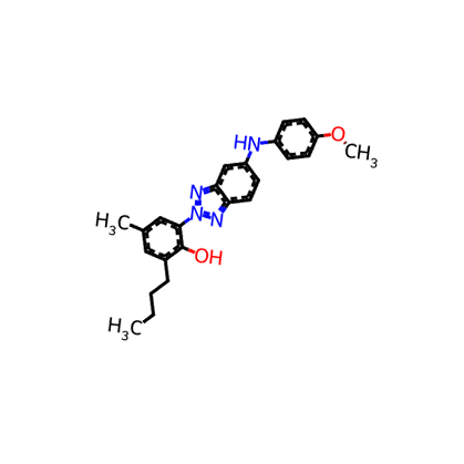 CCCCc1cc(C)cc(-n2nc3ccc(Nc4ccc(OC)cc4)cc3n2)c1O